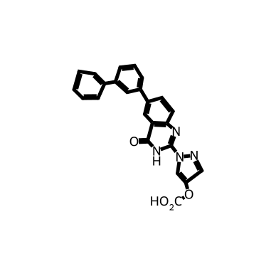 O=C(O)Oc1cnn(-c2nc3ccc(-c4cccc(-c5ccccc5)c4)cc3c(=O)[nH]2)c1